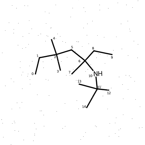 CCC(C)(C)CC(C)(CC)NC(C)(C)C